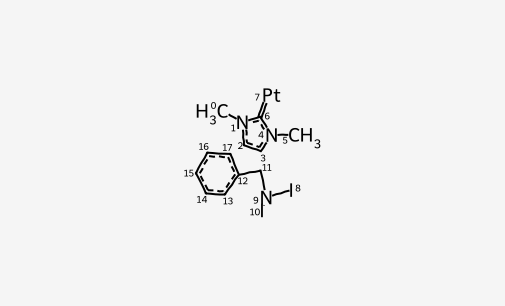 Cn1ccn(C)[c]1=[Pt].IN(I)Cc1ccccc1